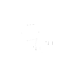 NC1(N)CC=CCC1